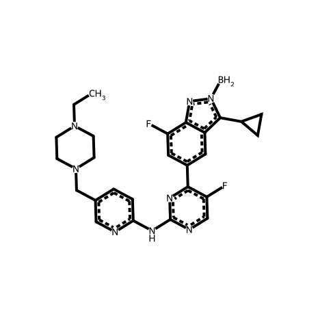 Bn1nc2c(F)cc(-c3nc(Nc4ccc(CN5CCN(CC)CC5)cn4)ncc3F)cc2c1C1CC1